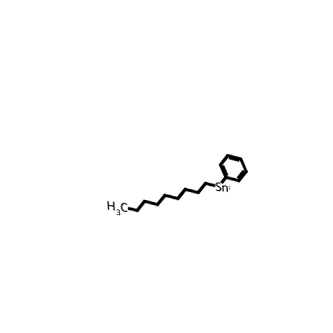 CCCCCCCC[CH2][Sn][c]1ccccc1